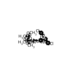 CC(=O)OCC1OC(n2cc(COc3ccc(C4c5[nH]c6ccc(Cl)cc6c5CCN4C(=O)Oc4ccc(Cl)cc4)cc3)nn2)C(OC(C)=O)C(OC(C)=O)C1OC(C)=O